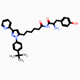 CC(C)(C)c1ccc(-n2nc(-c3ccccn3)cc2CCCCCC(=O)NC(=O)C(N)Cc2ccc(O)cc2)cc1